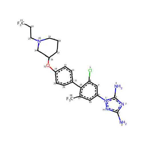 Nc1nc(N)n(-c2cc(Cl)c(-c3ccc(OC4CCCN(CCC(F)(F)F)C4)cc3)c(C(F)(F)F)c2)n1